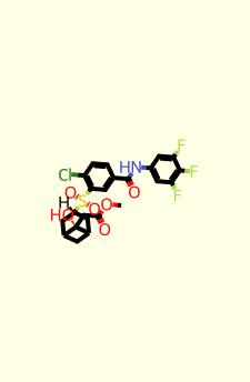 COC(=O)C[C@]1(O)C2CC1C[C@@H](S(=O)(=O)c1cc(C(=O)Nc3cc(F)c(F)c(F)c3)ccc1Cl)C2